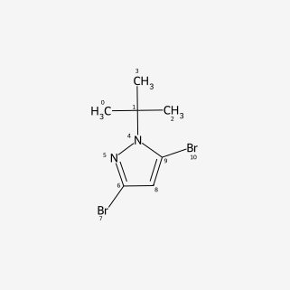 CC(C)(C)n1nc(Br)cc1Br